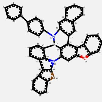 c1ccc(-c2ccc(N3B4c5c(cc6oc7ccccc7c6c5-c5cc6ccccc6cc53)-n3c5sc6ccccc6c5c5cccc4c53)cc2)cc1